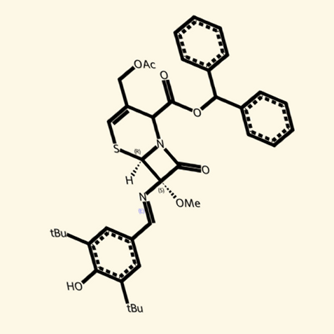 CO[C@@]1(/N=C/c2cc(C(C)(C)C)c(O)c(C(C)(C)C)c2)C(=O)N2C(C(=O)OC(c3ccccc3)c3ccccc3)C(COC(C)=O)=CS[C@@H]21